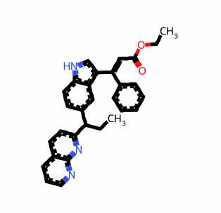 CCOC(=O)C=C(c1ccccc1)c1c[nH]c2ccc(C(CC)c3ccc4cccnc4n3)cc12